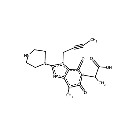 CC#CCn1c(N2CCNCC2)nc2c1c(=O)n(C(C)C(=O)O)c(=O)n2C